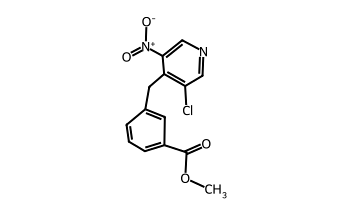 COC(=O)c1cccc(Cc2c(Cl)cncc2[N+](=O)[O-])c1